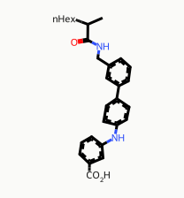 CCCCCCC(C)C(=O)NCc1cccc(-c2ccc(Nc3cccc(C(=O)O)c3)cc2)c1